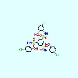 O=S(=O)(Nc1cc(Cl)ccc1O)c1cc(S(=O)(=O)Nc2cc(Cl)ccc2O)cc(S(=O)(=O)Nc2cc(Cl)ccc2O)c1